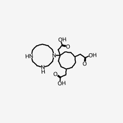 O=C(O)CC1CCC(CC(=O)O)CCC(CC(=O)O)(N2CCCCCNCCNCC2)CC1